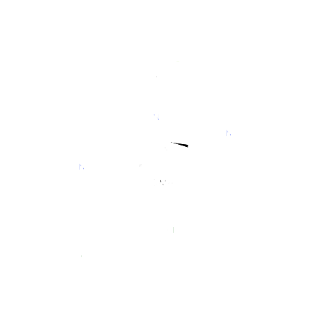 CO[C@H](c1cccnc1-c1cc(Cl)cc(Cl)c1)[C@H](c1cccnc1)N1CCC(F)(F)C1